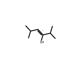 CC(C)/C=C(\S)C(C)C